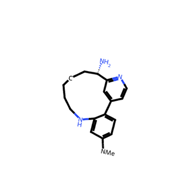 CNc1ccc2c(c1)NCCCCC[C@H](N)c1cc-2ccn1